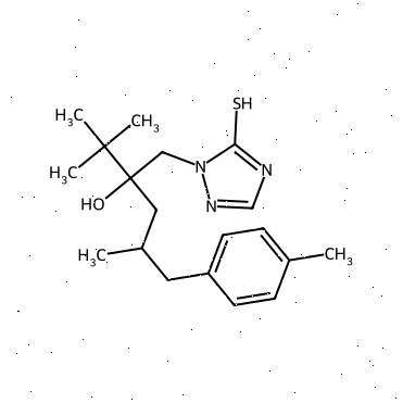 Cc1ccc(CC(C)CC(O)(Cn2ncnc2S)C(C)(C)C)cc1